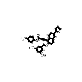 CC(C)(C)c1cc(COc2ccc3cc(-c4cccs4)ccc3c2C#CC(=O)Oc2ccc([N+](=O)[O-])cc2)cc(C(C)(C)C)c1